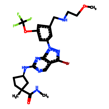 CNC(=O)[C@]1(C)CC[C@@H](Nc2ncc3c(Br)nn(-c4cc(CNCCOC)cc(OC(F)(F)F)c4)c3n2)C1